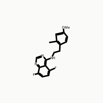 COc1ccc(CCNc2ncnc3c(F)ccc(F)c23)c(C)c1